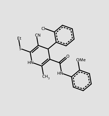 CCSC1=C(C#N)C(c2ccccc2Cl)C(C(=O)Nc2ccccc2OC)=C(C)N1